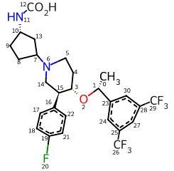 C[C@@H](O[C@H]1CCN(C2CC[C@H](NC(=O)O)C2)C[C@@H]1c1ccc(F)cc1)c1cc(C(F)(F)F)cc(C(F)(F)F)c1